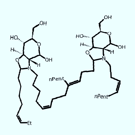 CC/C=C\CCCCC1O[C@H]2[C@H](O)[C@@H](CO)OC(O)[C@@H]2N1CCCC/C=C\CC/C(=C/CCC1O[C@H]2[C@H](O)[C@@H](CO)OC(O)[C@@H]2N1CC/C=C\CCCCC)CCCCC